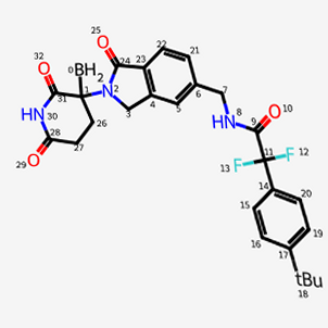 BC1(N2Cc3cc(CNC(=O)C(F)(F)c4ccc(C(C)(C)C)cc4)ccc3C2=O)CCC(=O)NC1=O